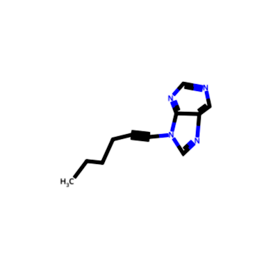 CCCCC#Cn1cnc2cncnc21